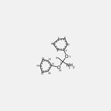 CC(N)(Oc1ccccc1)Oc1ccccc1